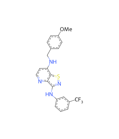 COc1ccc(CNc2ccnc3c(Nc4cccc(C(F)(F)F)c4)nsc23)cc1